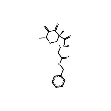 C=C1C(=O)[C@](C)(C(=O)OC)[C@H](CCC(=O)NCc2ccccc2)O[C@@H]1C